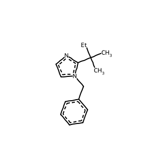 CCC(C)(C)c1nccn1Cc1ccccc1